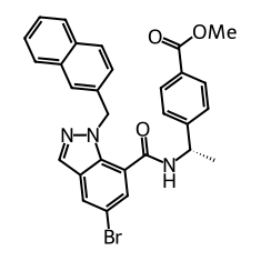 COC(=O)c1ccc([C@H](C)NC(=O)c2cc(Br)cc3cnn(Cc4ccc5ccccc5c4)c23)cc1